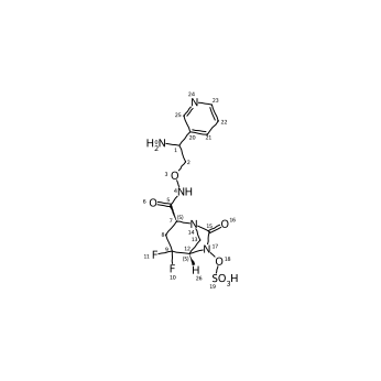 NC(CONC(=O)[C@@H]1CC(F)(F)[C@@H]2CN1C(=O)N2OS(=O)(=O)O)c1cccnc1